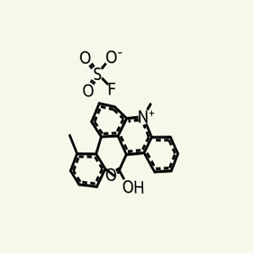 Cc1cccc(C)c1-c1cccc2c1c(C(=O)O)c1ccccc1[n+]2C.O=S(=O)([O-])F